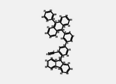 N#Cc1cc(-c2cccc(-c3c4ccccc4c(-c4ccccc4)c4ccccc34)c2)ccc1-n1c2ccccc2c2ccccc21